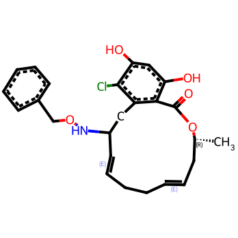 C[C@@H]1C/C=C/CC/C=C/C(NOCc2ccccc2)Cc2c(Cl)c(O)cc(O)c2C(=O)O1